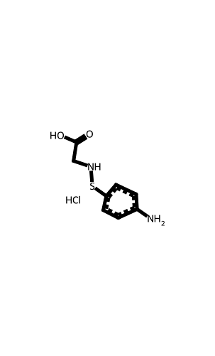 Cl.Nc1ccc(SNCC(=O)O)cc1